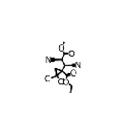 CCOC(=O)C1(C(C#N)C(C#N)C(=O)OC)CC1(Cl)Cl